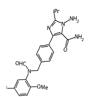 COc1ccc(F)cc1N(C=O)Cc1ccc(-c2nc(C(C)C)n(N)c2C(N)=O)cc1